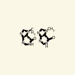 Cn1cnc2nc[nH]c(=O)c21.Cn1cnc2nc[nH]c(=O)c21